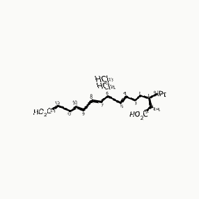 CC(C)C(CCCCCCCCCCCC(=O)O)CC(=O)O.Cl.Cl